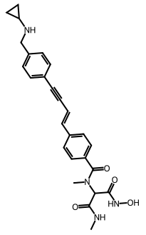 CNC(=O)C(C(=O)NO)N(C)C(=O)c1ccc(C=CC#Cc2ccc(CNC3CC3)cc2)cc1